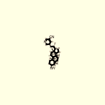 CCC[C@H]1CC[C@@]2(C)[C@H](CC[C@@H]3[C@@H]2CC[C@]2(C)[C@@H]([C@@H](C)C[C@@H]4C=C(C#N)C=NC4)CC[C@@H]32)C1